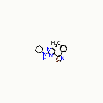 Cc1cccc(-c2ncsc2-c2ccnc(NC3CCCCC3)n2)c1